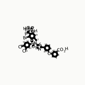 O=C(O)c1cccc(Oc2cccc(-c3nnc(N(Cc4ccc(C(F)(F)P(=O)(O)O)c(Br)c4)S(=O)(=O)c4ccc(Cl)c(Cl)c4)s3)c2)c1